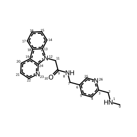 CNCc1ccc(CNC(=O)Cn2c3ccccc3c3cccnc32)cn1